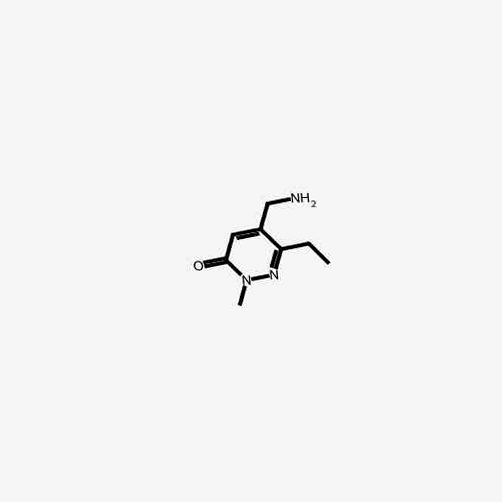 CCc1nn(C)c(=O)cc1CN